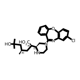 C[C@H](C[C@@H](C(=O)O)[C@H]1CN(C2=Nc3cc(Cl)ccc3Oc3ccccc32)CCN1)CC(C)(C)O